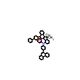 CC1(C)c2cccc(N(c3ccccc3)c3ccc(-c4cc5ccccc5c5ccccc45)cc3)c2-c2c1c1ccccc1c1c2oc2cc(-c3ccccc3)ccc21